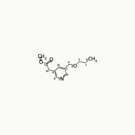 CCCOCc1cncc(CC(=O)OC)c1